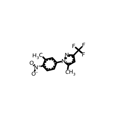 Cc1cc(-n2nc(C(F)(F)F)cc2C)ccc1[N+](=O)[O-]